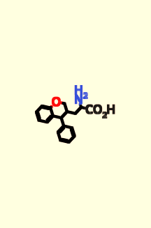 NC(CC1COc2ccccc2C1c1ccccc1)C(=O)O